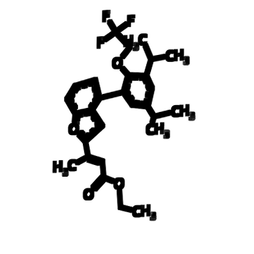 CCOC(=O)C=C(C)c1cc2c(-c3cc(C(C)C)cc(C(C)C)c3OCC(F)(F)F)cccc2o1